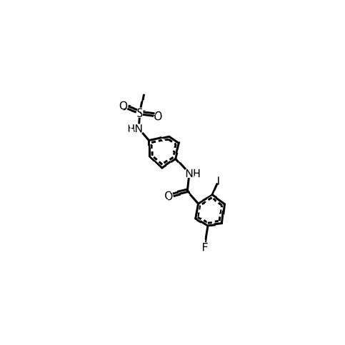 CS(=O)(=O)Nc1ccc(NC(=O)c2cc(F)ccc2I)cc1